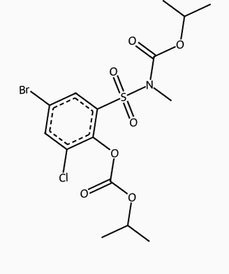 CC(C)OC(=O)Oc1c(Cl)cc(Br)cc1S(=O)(=O)N(C)C(=O)OC(C)C